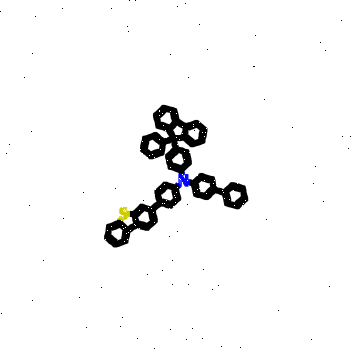 c1ccc(-c2ccc(N(c3ccc(-c4ccc5c(c4)sc4ccccc45)cc3)c3ccc(C4(c5ccccc5)c5ccccc5-c5ccccc54)cc3)cc2)cc1